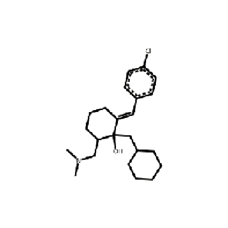 CN(C)CC1CCCC(=Cc2ccc(Cl)cc2)C1(O)CC1CCCCC1